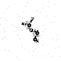 Cc1ccc(NC(=O)c2cccc(C(F)(F)F)c2)cc1C(=O)Nc1cnc(Nc2ccc(OCCCN(C)C)c(NC(=O)OC(C)(C)C)c2)nc1